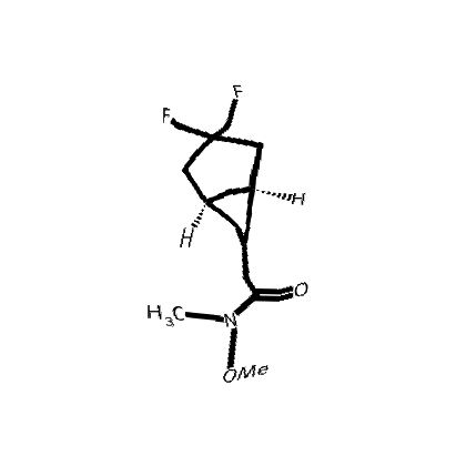 CON(C)C(=O)C1[C@H]2CC(F)(F)C[C@@H]12